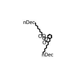 CCCCCCCCCCCCCCCCCC(=O)OOOC(=O)C(CCCCCCCCCCCCCCCC)Cc1ccccc1